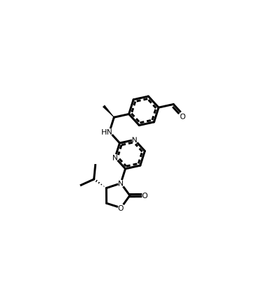 CC(C)[C@H]1COC(=O)N1c1ccnc(N[C@@H](C)c2ccc(C=O)cc2)n1